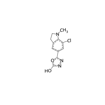 CN1CCc2cc(-c3nnc(O)o3)cc(Cl)c21